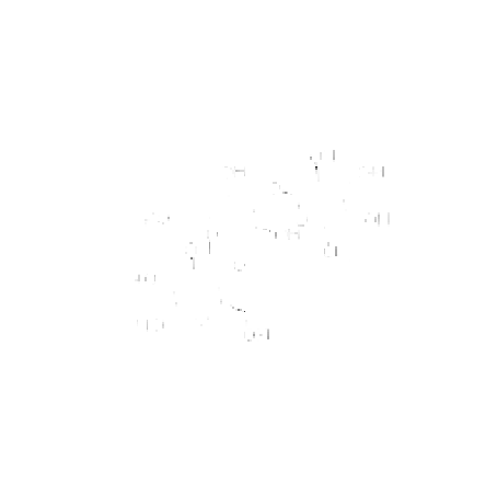 C[C@@H]1O[C@@H](O[C@H]2[C@@H](O)[C@@H](CO)O[C@@H](O[C@H]3[C@H](O)[C@@H](O)C(O)O[C@@H]3CO)[C@@H]2O)[C@@H](O)[C@H](O)[C@@H]1O